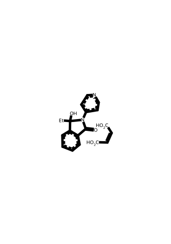 CCC1(O)c2ccccc2C(=O)N1c1ccncc1.O=C(O)/C=C\C(=O)O